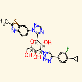 Cc1nc2ccc(-n3ncnc3[C@@H]3O[C@H](CO)[C@H](O)[C@H](n4cc(-c5ccc(C6CC6)c(F)c5)nn4)[C@H]3O)cc2s1